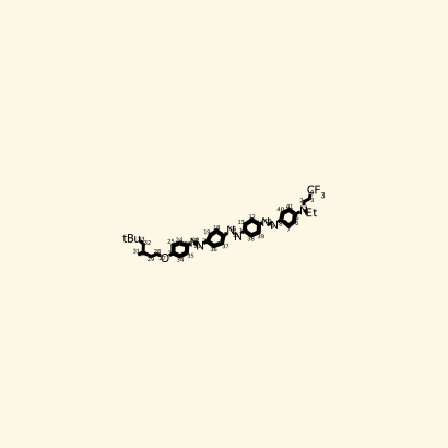 CCN(CCC(F)(F)F)c1ccc(/N=N/c2ccc(/N=N/c3ccc(/N=N/c4ccc(OCCC(C)CC(C)(C)C)cc4)cc3)cc2)cc1